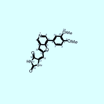 COc1ccc(-c2cncc3cc(C=C4SC(=O)NC4=O)oc23)cc1OC